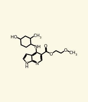 COCCOC(=O)c1cnc2[nH]ccc2c1NC1CCC(O)CC1C